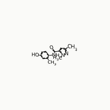 Cc1cc(C(=O)Nc2ccc(O)cc2C)n(C)n1